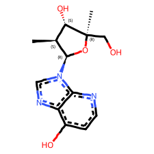 C[C@@H]1[C@H](n2cnc3c(O)ccnc32)O[C@](C)(CO)[C@H]1O